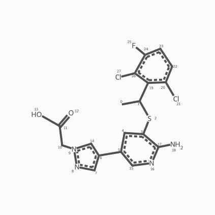 CC(Sc1cc(-c2cnn(CC(=O)O)c2)cnc1N)c1c(Cl)ccc(F)c1Cl